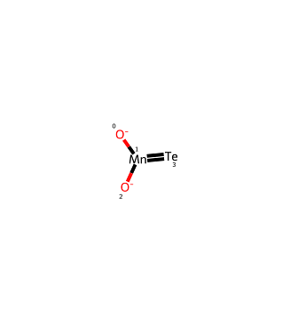 [O-][Mn]([O-])=[Te]